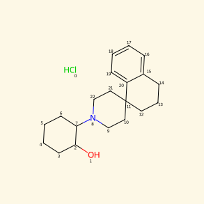 Cl.OC1CCCCC1N1CCC2(CCCc3ccccc32)CC1